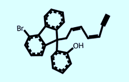 C#C/C=C\C=C/CC1(c2ccccc2O)c2ccccc2-c2c(Br)cccc21